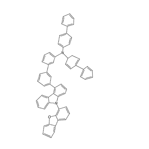 C1=CC(N(c2ccc(-c3ccccc3)cc2)c2cccc(-c3cccc(-c4cccc5c4c4ccccc4n5-c4cccc5c4oc4ccccc45)c3)c2)CC=C1c1ccccc1